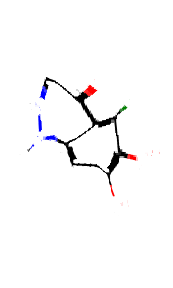 CCn1n[c]c(=O)c2c(Cl)c(O)c(O)cc21